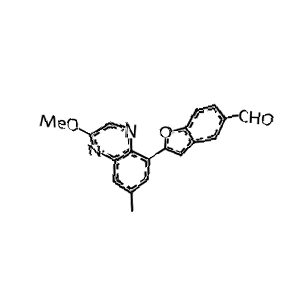 COc1cnc2c(-c3cc4cc(C=O)ccc4o3)cc(C)cc2n1